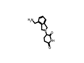 NCc1cccc2c1CN(C1CCC(=O)NC1=O)C2